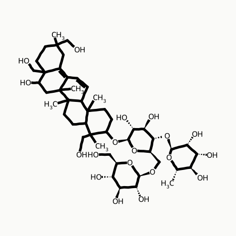 C[C@@H]1O[C@@H](O[C@H]2[C@H](O)[C@@H](O)[C@H](OC3CCC4(C)C(CCC5(C)C4C=CC4=C6CC(C)(CO)CCC6(CO)C(O)CC45C)C3(C)CO)O[C@@H]2CO[C@@H]2O[C@H](CO)[C@@H](O)[C@H](O)[C@H]2O)[C@H](O)[C@H](O)[C@H]1O